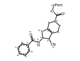 CCCCCOC(=O)N1CCC2=C(C1)SC(NC(=O)c1ccccc1)C2C#N